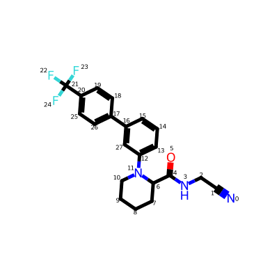 N#CCNC(=O)C1CCCCN1c1cccc(-c2ccc(C(F)(F)F)cc2)c1